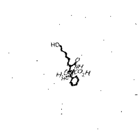 CC1(O)C(CCCCCCO)C(=O)NC1(C(=O)O)C(O)C1C=CCCC1